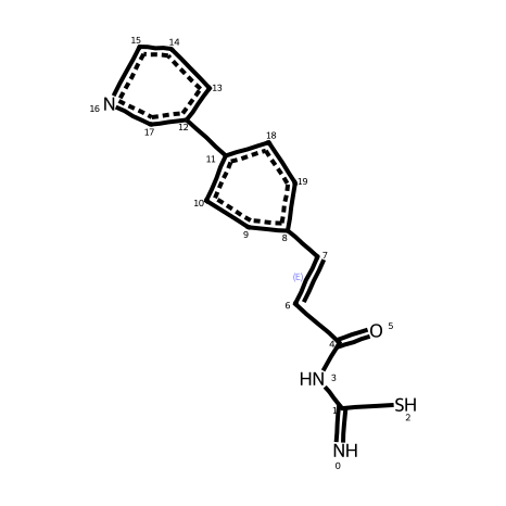 N=C(S)NC(=O)/C=C/c1ccc(-c2cccnc2)cc1